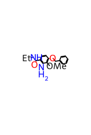 CCNC(=O)c1ccc(OCc2ccccc2)c(OC)c1N